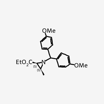 CCOC(=O)[C@@H]1[C@H](C)N1C(c1ccc(OC)cc1)c1ccc(OC)cc1